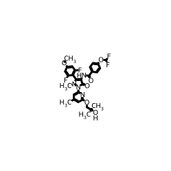 COc1cc(F)c(-c2c(NC(=O)c3ccc(OC(F)F)cc3)c(=O)n(-c3cc(C)cc(OCC(C)(C)O)n3)n2C)c(F)c1